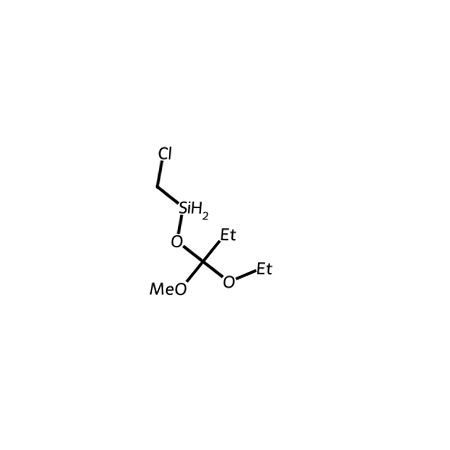 CCOC(CC)(OC)O[SiH2]CCl